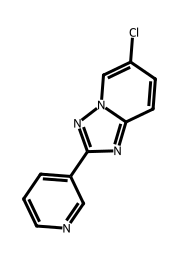 Clc1ccc2nc(-c3cccnc3)nn2c1